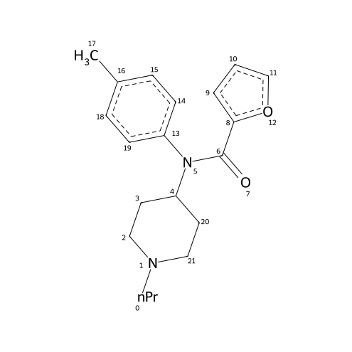 C[CH]CN1CCC(N(C(=O)c2ccco2)c2ccc(C)cc2)CC1